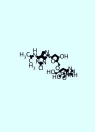 CC(C)Nc1nc(Cl)nc2c1cnn2[C@H]1C[C@H](O)[C@@H](CO[C@](CO)(Cc2nn[nH]n2)P(=O)(O)O)O1